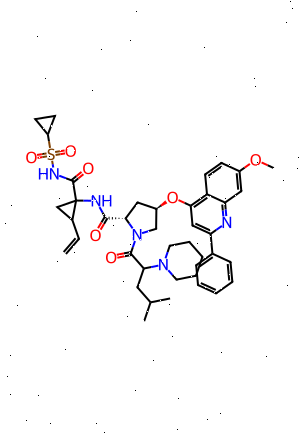 C=CC1CC1(NC(=O)[C@@H]1C[C@@H](Oc2cc(-c3ccccc3)nc3cc(OC)ccc23)CN1C(=O)C(CC(C)C)N1CCCCC1)C(=O)NS(=O)(=O)C1CC1